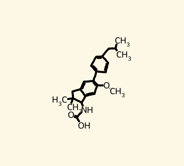 COc1cc2c(cc1-c1ccc(CC(C)C)cc1)CC(C)(C)C2NC(=O)O